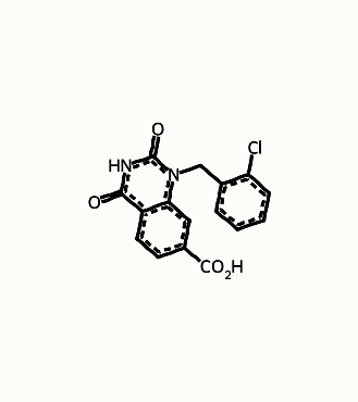 O=C(O)c1ccc2c(=O)[nH]c(=O)n(Cc3ccccc3Cl)c2c1